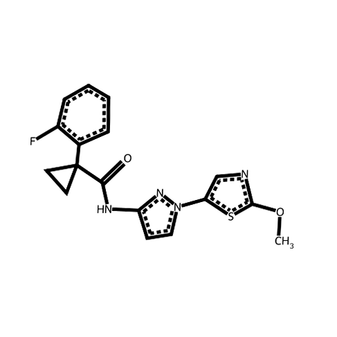 COc1ncc(-n2ccc(NC(=O)C3(c4ccccc4F)CC3)n2)s1